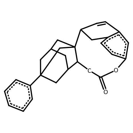 O=C1CC2C3CC4CC(c5ccccc5)(C3)CC2(C4)C2C=Cc3cc(ccc3C2)O1